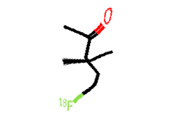 CC(=O)C(C)(C)C[18F]